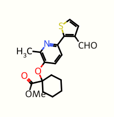 COC(=O)C1(Oc2ccc(-c3sccc3C=O)nc2C)CCCCC1